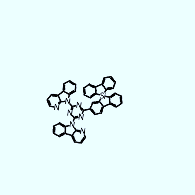 c1ccc2c(c1)-c1ccccc1[Si]21c2ccccc2-c2ccc(-c3nc(-n4c5ccccc5c5cccnc54)nc(-n4c5ccccc5c5cccnc54)n3)cc21